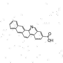 O=C(O)c1ccc2c(cnc3c4cc5ccccc5cc4ccc23)c1